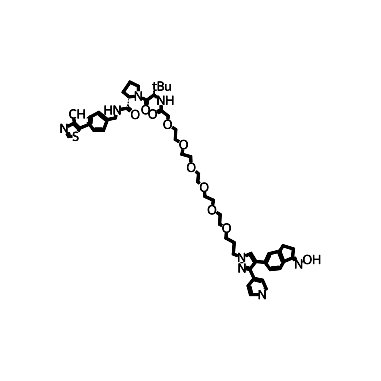 Cc1ncsc1-c1ccc(CNC(=O)[C@@H]2CCCN2C(=O)[C@@H](NC(=O)COCCOCCOCCOCCOCCOCCCn2cc(-c3ccc4c(c3)CC/C4=N\O)c(-c3ccncc3)n2)C(C)(C)C)cc1